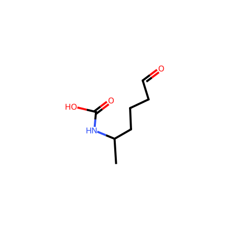 CC(CCCC=O)NC(=O)O